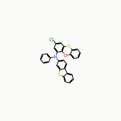 Clc1cc2c(c(N(c3ccccc3)c3ccc4c(c3)sc3ccccc34)c1)Oc1ccccc1S2